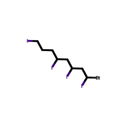 CCC(I)CC(I)CC(I)CCCI